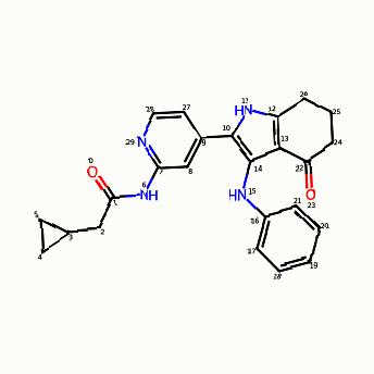 O=C(CC1CC1)Nc1cc(-c2[nH]c3c(c2Nc2ccccc2)C(=O)CCC3)ccn1